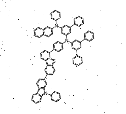 c1ccc(-c2cc(-c3ccccc3)cc(N(c3ccc(-c4cccc5c4sc4ccc(-c6ccc7c8ccccc8n(-c8ccccc8)c7c6)cc45)cc3)c3cc(-c4ccccc4)cc(N(c4ccccc4)c4ccc5ccccc5c4)c3)c2)cc1